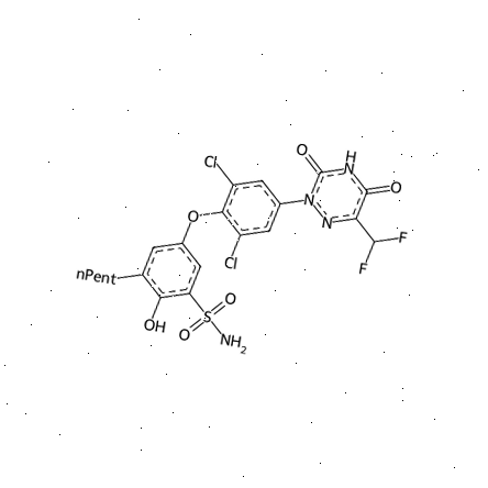 CCCCCc1cc(Oc2c(Cl)cc(-n3nc(C(F)F)c(=O)[nH]c3=O)cc2Cl)cc(S(N)(=O)=O)c1O